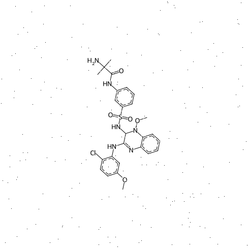 COc1ccc(Cl)c(NC2=Nc3ccccc3N(OC)C2NS(=O)(=O)c2cccc(NC(=O)C(C)(C)N)c2)c1